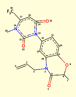 C=CCN1C(=O)C(C)Oc2ccc(-n3c(=O)cc(C(F)(F)F)n(C)c3=O)cc21